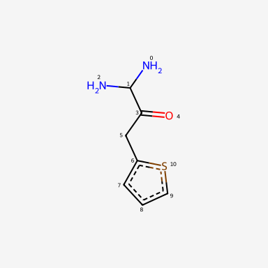 NC(N)C(=O)Cc1cccs1